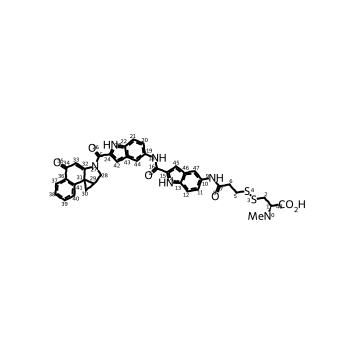 CN[C@@H](CSSCCC(=O)Nc1ccc2[nH]c(C(=O)Nc3ccc4[nH]c(C(=O)N5CC6CC67C5=CC(=O)c5ccccc57)cc4c3)cc2c1)C(=O)O